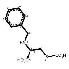 O=C(O)SC[C@H](NCc1ccccc1)C(=O)O